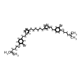 CN(C)CCCOc1ccc(CCn2cc(CCCCCCc3cn(CCc4ccc(OCCCN(C)C)c(Br)c4)nn3)nn2)cc1Br